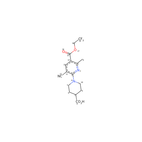 Cc1nc(N2CCC(C(=O)O)CC2)c(C#N)cc1C(=O)OCC(F)(F)F